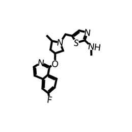 CNc1ncc(CN2CC(Oc3nccc4cc(F)ccc34)CC2C)s1